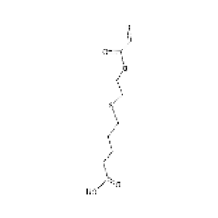 C=CC(=O)OCCSCCCCC(=O)O